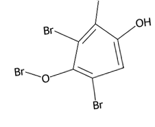 Oc1cc(Br)c(OBr)c(Br)c1Br